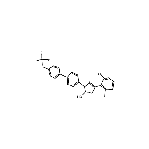 OC1CC(c2c(F)cccc2Cl)=NC1c1ccc(-c2ccc(SC(F)(F)F)cc2)cc1